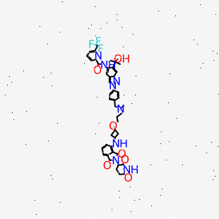 CN(CCCO[C@H]1C[C@H](Nc2cccc3c2C(=O)N(C2CCC(=O)NC2=O)C3=O)C1)Cc1ccc(-n2cc3cc(NC(=O)c4cccc(C(F)(F)F)n4)c(C(C)(C)O)cc3n2)cc1